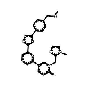 CNCc1ccc(-c2cc(-c3cncc(-c4ccc(=O)n(Cc5nccn5C)c4)n3)on2)cc1